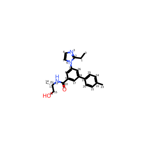 CCc1nccn1-c1cc(C(=O)N[C@@H](C)CO)cc(-c2ccc(C)cc2)c1